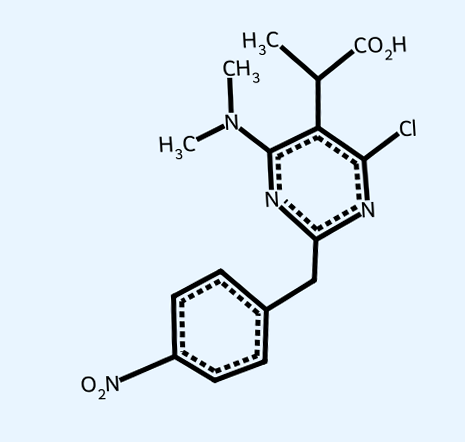 CC(C(=O)O)c1c(Cl)nc(Cc2ccc([N+](=O)[O-])cc2)nc1N(C)C